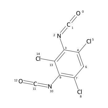 O=C=Nc1c(Cl)cc(Cl)c(N=C=O)c1Cl